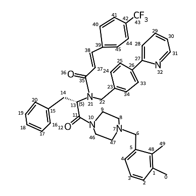 Cc1cccc(CN2CCN(C(=O)[C@H](Cc3ccccc3)N(Cc3ccc(-c4ccccn4)cc3)C(=O)C=Cc3ccc(C(F)(F)F)cc3)CC2)c1C